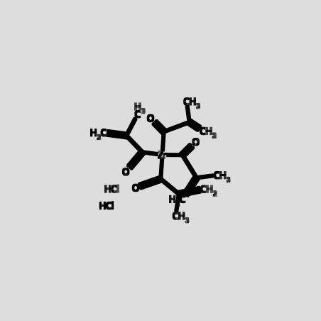 C=C(C)[C](=O)[Zr]([C](=O)C(=C)C)([C](=O)C(=C)C)[C](=O)C(=C)C.Cl.Cl